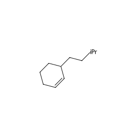 CC(C)CCC1C=CCCC1